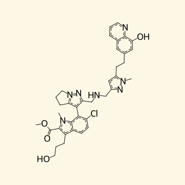 COC(=O)c1c(CCCO)c2ccc(Cl)c(-c3c(CNCc4cc(CCc5cc(O)c6ncccc6c5)n(C)n4)nn4c3CCC4)c2n1C